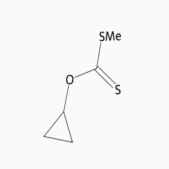 CSC(=S)OC1CC1